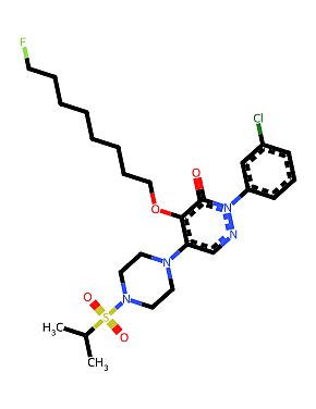 CC(C)S(=O)(=O)N1CCN(c2cnn(-c3cccc(Cl)c3)c(=O)c2OCCCCCCCCF)CC1